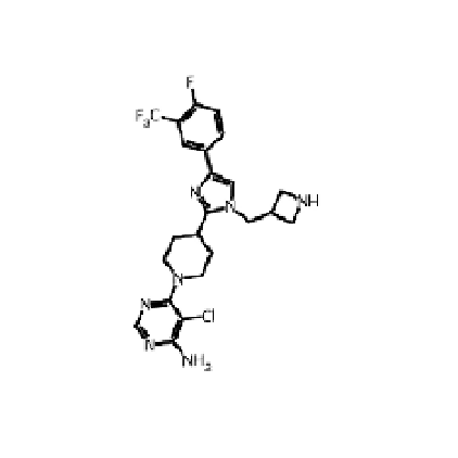 Nc1ncnc(N2CCC(c3nc(-c4ccc(F)c(C(F)(F)F)c4)cn3CC3CNC3)CC2)c1Cl